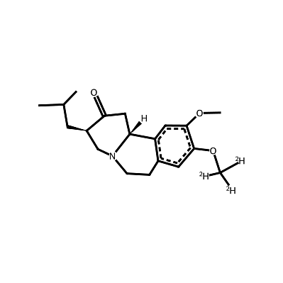 [2H]C([2H])([2H])Oc1cc2c(cc1OC)[C@H]1CC(=O)[C@H](CC(C)C)CN1CC2